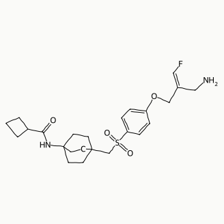 NCC(=CF)COc1ccc(S(=O)(=O)CC23CCC(NC(=O)C4CCC4)(CC2)CC3)cc1